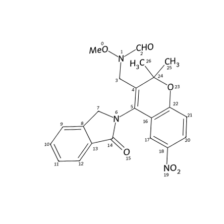 CON(C=O)CC1=C(N2Cc3ccccc3C2=O)c2cc([N+](=O)[O-])ccc2OC1(C)C